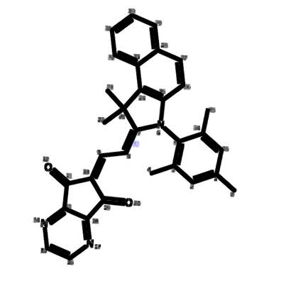 Cc1cc(C)c(N2/C(=C/C=C3C(=O)c4nccnc4C3=O)C(C)(C)c3c2ccc2ccccc32)c(C)c1